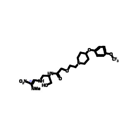 CN/C(=C\NCC(CO)NC(=O)COCCN1CCC(Oc2ccc(OC(F)(F)F)cc2)CC1)[N+](=O)[O-]